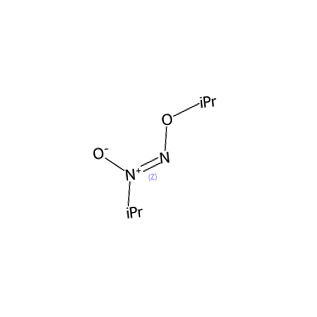 CC(C)O/N=[N+](\[O-])C(C)C